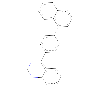 ClC1N=c2ccccc2=C(c2ccc(-c3cccc4ccccc34)cc2)N1